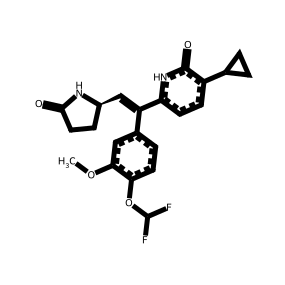 COc1cc(/C(=C\[C@H]2CCC(=O)N2)c2ccc(C3CC3)c(=O)[nH]2)ccc1OC(F)F